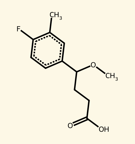 COC(CCC(=O)O)c1ccc(F)c(C)c1